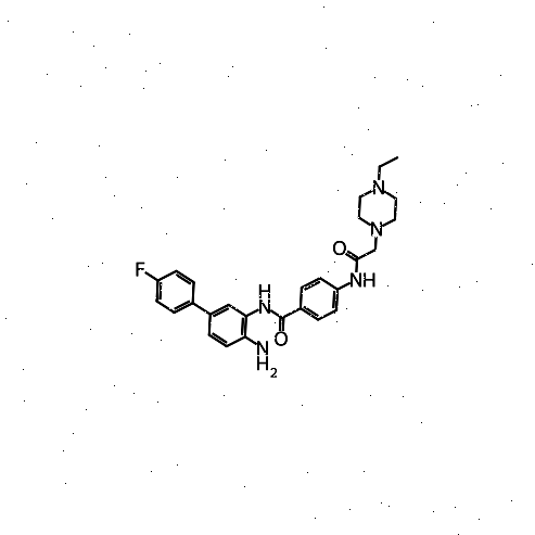 CCN1CCN(CC(=O)Nc2ccc(C(=O)Nc3cc(-c4ccc(F)cc4)ccc3N)cc2)CC1